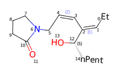 CC/C=C(\C=C/CN1CCCC1=O)[C@@H](O)CCCCC